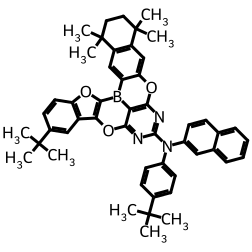 CC(C)(C)c1ccc(N(c2ccc3ccccc3c2)c2nc3c4c(n2)Oc2c(oc5ccc(C(C)(C)C)cc25)B4c2cc4c(cc2O3)C(C)(C)CCC4(C)C)cc1